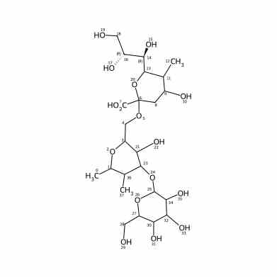 CC1OC(COC2(C(=O)O)CC(O)C(C)C([C@H](O)[C@H](O)CO)O2)C(O)C(OC2OC(CO)C(O)C(O)C2O)C1C